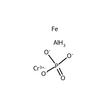 O=P([O-])([O-])[O-].[AlH3].[Cr+3].[Fe]